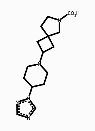 O=C(O)N1CCC2(CC(N3CCC(n4cncn4)CC3)C2)C1